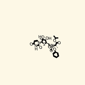 CC(C)OC(=O)[C@H](C)N[P@@](=O)(OC[C@H]1S[C@@H](n2ccc(=O)[nH]c2=O)[C@](C)(O)[C@@H]1O)Oc1ccccc1